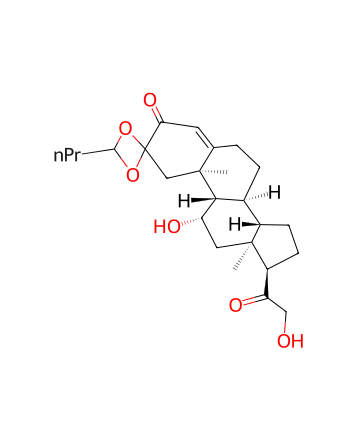 CCCC1OC2(C[C@@]3(C)C(=CC2=O)CC[C@@H]2[C@@H]3[C@@H](O)C[C@]3(C)[C@H](C(=O)CO)CC[C@@H]23)O1